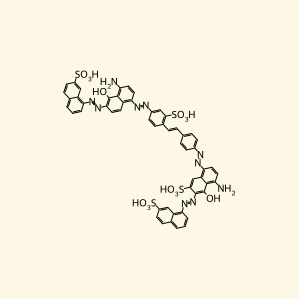 Nc1ccc(N=Nc2ccc(/C=C/c3ccc(N=Nc4ccc(N)c5c(O)c(N=Nc6cccc7ccc(S(=O)(=O)O)cc67)c(S(=O)(=O)O)cc45)cc3)c(S(=O)(=O)O)c2)c2ccc(N=Nc3cccc4ccc(S(=O)(=O)O)cc34)c(O)c12